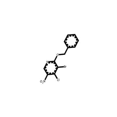 O=[N+]([O-])c1cnc(OCc2ccccc2)c(Br)c1Cl